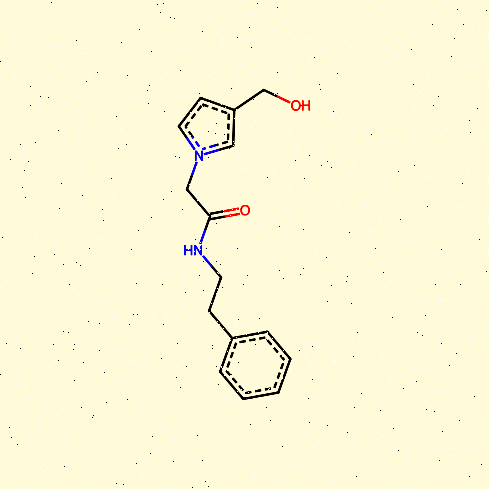 O=C(Cn1ccc(CO)c1)NCCc1ccccc1